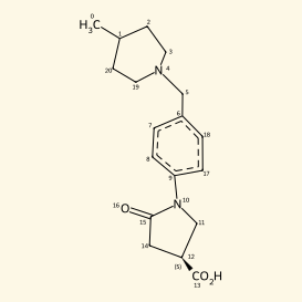 CC1CCN(Cc2ccc(N3C[C@@H](C(=O)O)CC3=O)cc2)CC1